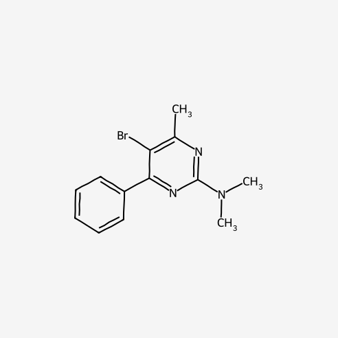 Cc1nc(N(C)C)nc(-c2ccccc2)c1Br